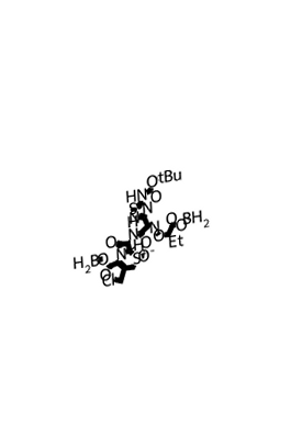 BOC(=O)C1=C(CCl)C[S+]([O-])[C@@H]2[C@H](NC(=O)/C(=N\O[C@@H](CC)C(=O)OB)c3nsc(NC(=O)OC(C)(C)C)n3)C(=O)N12